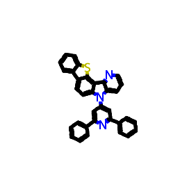 c1ccc(-c2cc(-n3c4cccnc4c4c5sc6ccccc6c5ccc43)cc(-c3ccccc3)n2)cc1